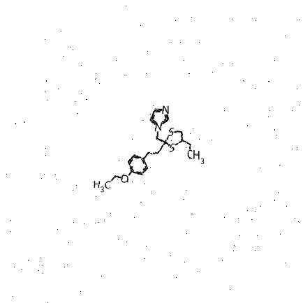 CCOc1ccc(CCC2(Cn3ccnc3)SCC(CC)S2)cc1